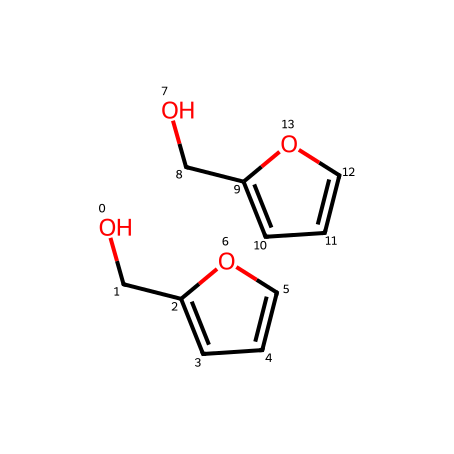 OCc1ccco1.OCc1ccco1